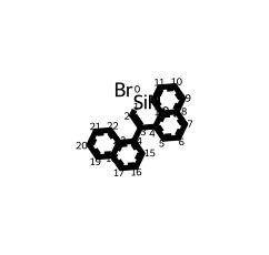 Br[SiH2]C=C(c1cccc2ccccc12)c1cccc2ccccc12